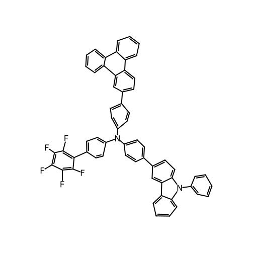 Fc1c(F)c(F)c(-c2ccc(N(c3ccc(-c4ccc5c6ccccc6c6ccccc6c5c4)cc3)c3ccc(-c4ccc5c(c4)c4ccccc4n5-c4ccccc4)cc3)cc2)c(F)c1F